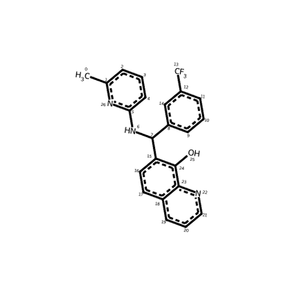 Cc1cccc(NC(c2cccc(C(F)(F)F)c2)c2ccc3cccnc3c2O)n1